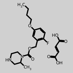 CCCCOc1ccc(F)c(COC(=O)N2CCNCC2C)c1.O=C(O)C=CC(=O)O